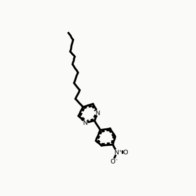 CCCCCCCCCc1cnc(-c2ccc([N+](=O)[O-])cc2)nc1